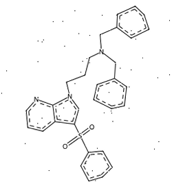 O=S(=O)(c1ccccc1)c1cn(CCCN(Cc2ccccc2)Cc2ccccc2)c2ncccc12